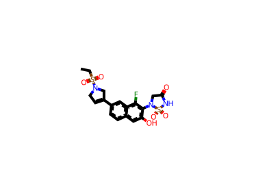 CCS(=O)(=O)N1CC=C(c2ccc3cc(O)c(N4CC(=O)NS4(=O)=O)c(F)c3c2)C1